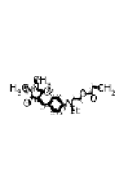 C=CC(=O)OCCN(CC)c1ccc(C=C2C(=O)N(C)N(C)C2=O)cc1